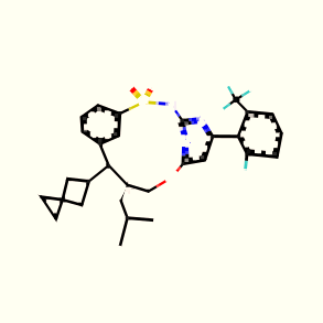 CC(C)C[C@@H]1COc2cc(-c3c(F)cccc3C(F)(F)F)nc(n2)NS(=O)(=O)c2cccc(c2)C1C1CC2(CC2)C1